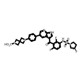 O=C(c1c(F)ccc(NS(=O)(=O)N2CC[C@@H](F)C2)c1F)c1c[nH]c2ncc(-c3ccc(N4CC5(CN(C(=O)O)C5)C4)cc3)cc12